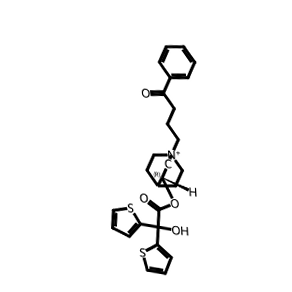 O=C(CCC[N+]12CCC(CC1)[C@@H](OC(=O)C(O)(c1cccs1)c1cccs1)C2)c1ccccc1